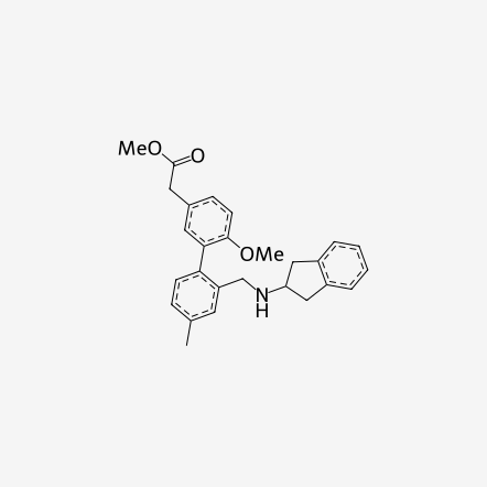 COC(=O)Cc1ccc(OC)c(-c2ccc(C)cc2CNC2Cc3ccccc3C2)c1